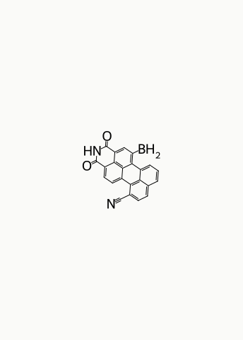 Bc1cc2c3c(ccc4c5c(C#N)ccc6cccc(c1c34)c65)C(=O)NC2=O